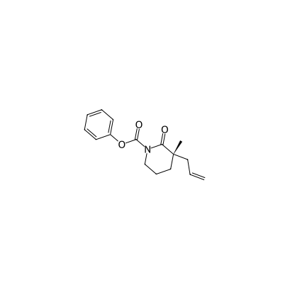 C=CC[C@]1(C)CCCN(C(=O)Oc2ccccc2)C1=O